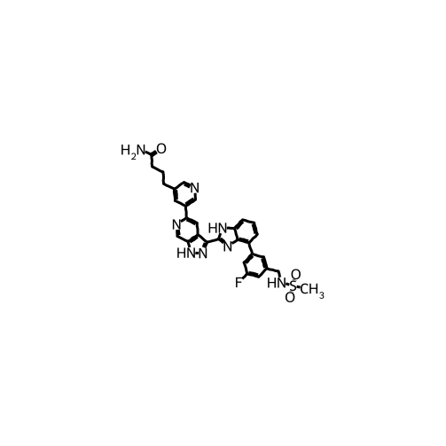 CS(=O)(=O)NCc1cc(F)cc(-c2cccc3[nH]c(-c4n[nH]c5cnc(-c6cncc(CCCC(N)=O)c6)cc45)nc23)c1